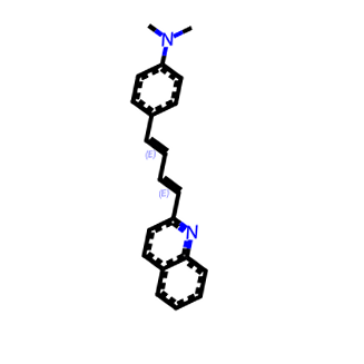 CN(C)c1ccc(/C=C/C=C/c2ccc3ccccc3n2)cc1